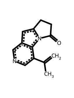 C=C(C)c1cncc2cc3n(c12)C(=O)CC3